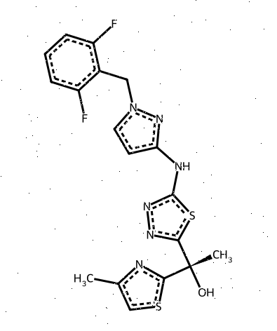 Cc1csc([C@@](C)(O)c2nnc(Nc3ccn(Cc4c(F)cccc4F)n3)s2)n1